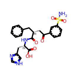 NS(=O)(=O)c1cccc(C(=O)C[C@@H](Cc2ccccc2)C(=O)N[C@@H](Cc2c[nH]cn2)C(=O)O)c1